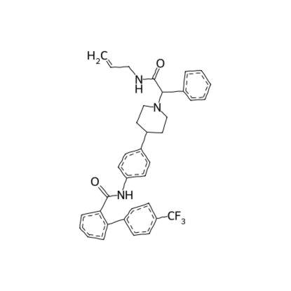 C=CCNC(=O)C(c1ccccc1)N1CCC(c2ccc(NC(=O)c3ccccc3-c3ccc(C(F)(F)F)cc3)cc2)CC1